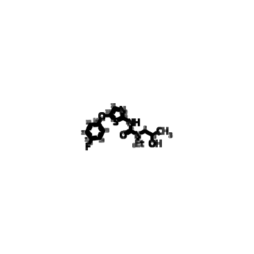 CCN(C[C@@H](C)O)C(=O)Nc1ncc(Oc2ccc(F)cc2)s1